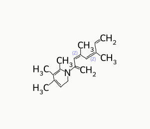 C=C/C(C)=C\C(C)=C/C(=C)N1CC=C(C)C(C)=C1C